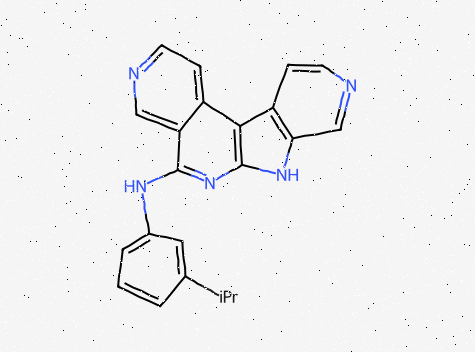 CC(C)c1cccc(Nc2nc3[nH]c4cnccc4c3c3ccncc23)c1